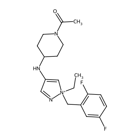 CC[N+]1(Cc2cc(F)ccc2F)C=C(NC2CCN(C(C)=O)CC2)C=N1